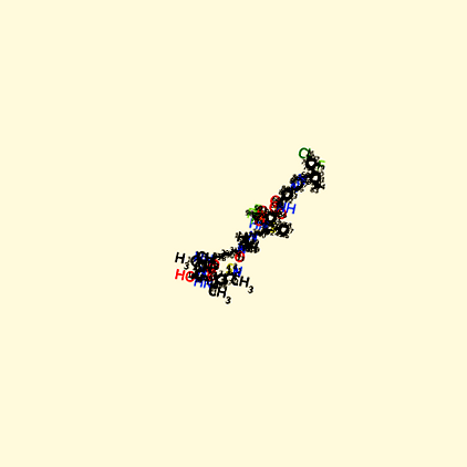 Cc1ncsc1-c1ccc([C@H](C)NC(=O)[C@@H]2C[C@@H](O)CN2C(=O)[C@@H](NC(=O)CCCCCC(=O)N2C[C@H]3CN(CC[C@H](CSc4ccccc4)Nc4ccc(S(=O)(=O)NC(=O)c5ccc(N6CCN(CC7=C(c8ccc(Cl)cc8F)CCC8(CC8)C7)CC6)cc5)cc4S(=O)(=O)C(F)(F)F)C[C@H]3C2)C(C)(C)C)cc1